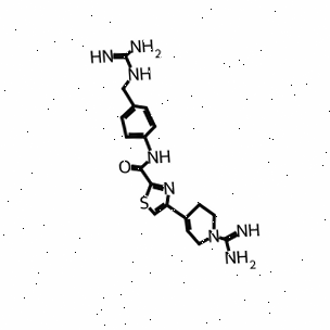 N=C(N)NCc1ccc(NC(=O)c2nc(C3=CCN(C(=N)N)CC3)cs2)cc1